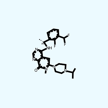 CC(C)N1CCN(c2cc3c(N[C@H](C)c4cccc(C(F)F)c4F)ncnc3c(=O)n2C)CC1